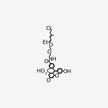 CC/C(=C\C=C(/C)CCCl)OCCOCCNC(=O)c1ccc(-c2c3ccc(=O)cc-3oc3cc(O)ccc23)c(C(=O)O)c1